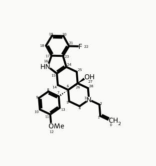 C=CCN1CC[C@@]2(c3cccc(OC)c3)Cc3[nH]c4cccc(F)c4c3C[C@]2(O)C1